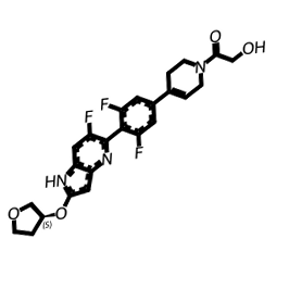 O=C(CO)N1CC=C(c2cc(F)c(-c3nc4cc(O[C@H]5CCOC5)[nH]c4cc3F)c(F)c2)CC1